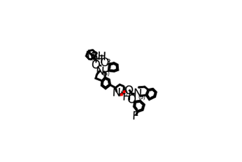 CN1C2CC[C@H](OC(=O)N3CCc4ccc(C5CC6CCN5C[C@H]6OC(=O)N5CCc6ccccc6[C@@H]5c5ccc(F)cc5)cc4[C@@H]3c3ccccc3)C1C2